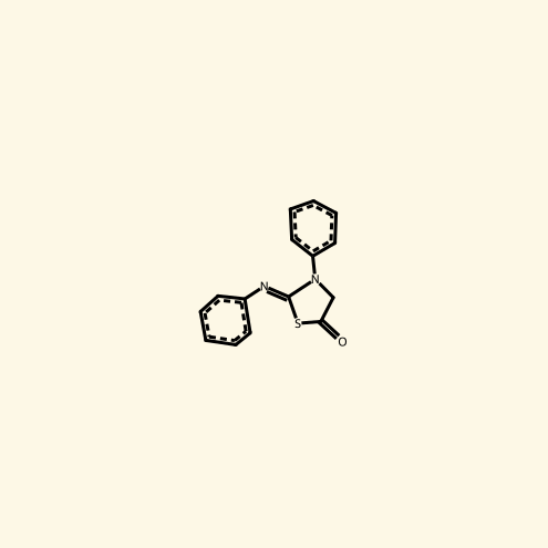 O=C1CN(c2ccccc2)C(=Nc2ccccc2)S1